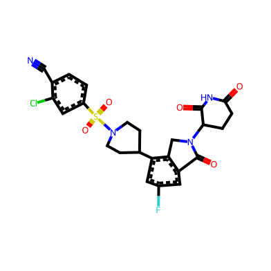 N#Cc1ccc(S(=O)(=O)N2CCC(c3cc(F)cc4c3CN(C3CCC(=O)NC3=O)C4=O)CC2)cc1Cl